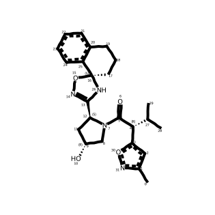 Cc1cc([C@H](C(=O)N2C[C@H](O)C[C@H]2C2=NO[C@]3(CCCc4ccccc43)N2)C(C)C)on1